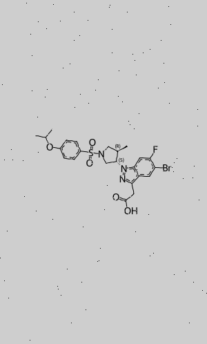 CC(C)Oc1ccc(S(=O)(=O)N2C[C@@H](C)[C@H](n3nc(CC(=O)O)c4cc(Br)c(F)cc43)C2)cc1